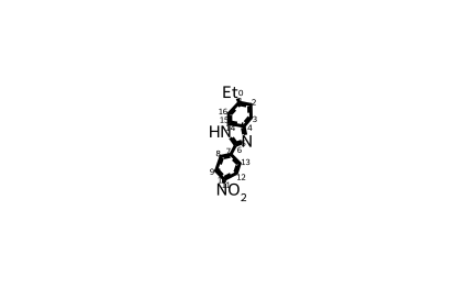 [CH2]Cc1ccc2nc(-c3ccc([N+](=O)[O-])cc3)[nH]c2c1